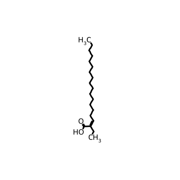 CCCCCCCCCCCCCCCC=C(CC)C(=O)O